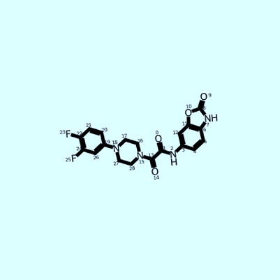 O=C(Nc1ccc2[nH]c(=O)oc2c1)C(=O)N1CCN(c2ccc(F)c(F)c2)CC1